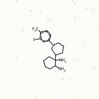 NC1CCCCC1(N)C1CCCN(c2ccc(C(F)(F)F)c(F)c2)C1